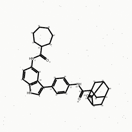 O=C(Nc1ccc2[nH]cc(-c3ccc(NC(=O)C45CC6CC(C4)C(=O)C(C6)C5)cc3)c2c1)C1CCCCCC1